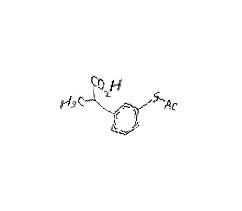 CC(=O)Sc1cccc(C(C)C(=O)O)c1